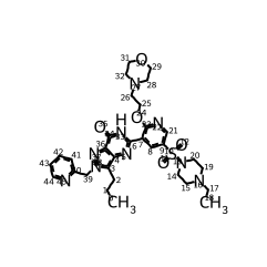 CCCc1c2nc(-c3cc(S(=O)(=O)N4CCN(CC)CC4)cnc3OCCN3CCOCC3)[nH]c(=O)c2nn1Cc1ccccn1